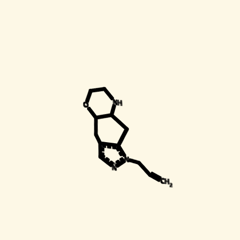 C=CCn1ncc2c1CC1NCCOC1C2